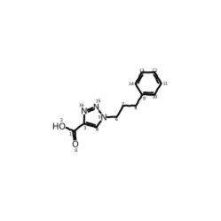 O=C(O)c1cn(CCCc2ccccc2)nn1